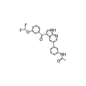 CC(=O)Nc1cccc(-c2cnc3[nH]cc(C(=O)c4cccc(OC(F)F)c4)c3c2)c1